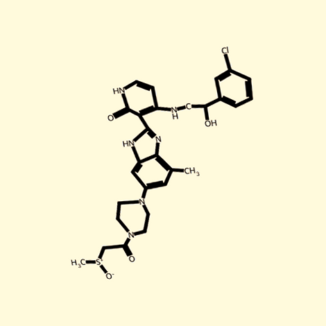 Cc1cc(N2CCN(C(=O)C[S+](C)[O-])CC2)cc2[nH]c(-c3c(NCC(O)c4cccc(Cl)c4)cc[nH]c3=O)nc12